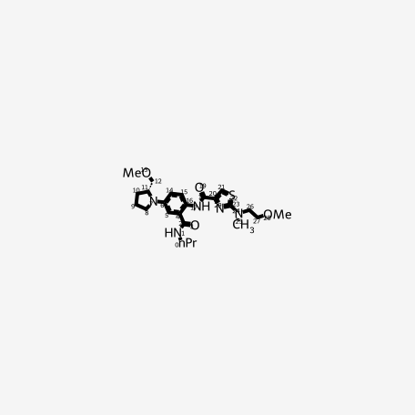 CCCNC(=O)c1cc(N2CCC[C@@H]2COC)ccc1NC(=O)c1csc(N(C)CCOC)n1